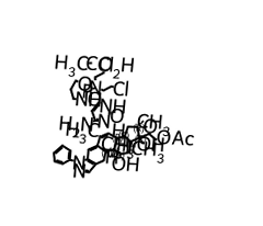 CC(=O)O.CC(=O)OCC(=O)[C@@]1(O)[C@H](C)C[C@H]2[C@@H]3C=C(C)C4=Cc5c(cnn5-c5ccccc5)C[C@]4(C)[C@H]3[C@@H](O)C[C@@]21C.Nc1cc[nH]c(=O)n1.O=P1(N(CCCl)CCCl)NCCCO1